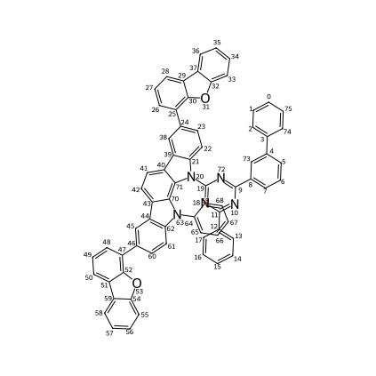 c1ccc(-c2cccc(-c3nc(-c4ccccc4)nc(-n4c5ccc(-c6cccc7c6oc6ccccc67)cc5c5ccc6c7cc(-c8cccc9c8oc8ccccc89)ccc7n(-c7ccccc7)c6c54)n3)c2)cc1